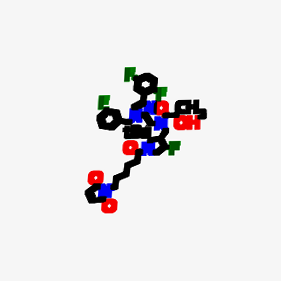 C[C@H](O)C(=O)N(C[C@@H]1CN(C(=O)CCCCCN2C(=O)C=CC2=O)C[C@@H]1F)[C@@H](c1nc(-c2cc(F)ccc2F)cn1Cc1cccc(F)c1)C(C)(C)C